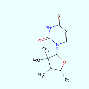 CC[C@H]1O[C@@H](n2ccc(=S)[nH]c2=O)C(C)(OC(C)=O)[C@H]1C